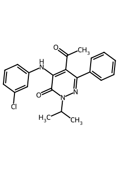 CC(=O)c1c(-c2ccccc2)nn(C(C)C)c(=O)c1Nc1cccc(Cl)c1